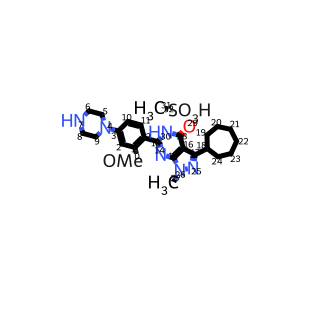 COc1cc(N2CCNCC2)ccc1-c1nc2c(c(C3CCCCCC3)nn2C)c(=O)[nH]1.CS(=O)(=O)O